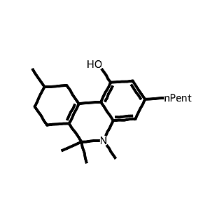 CCCCCc1cc(O)c2c(c1)N(C)C(C)(C)C1=C2CC(C)CC1